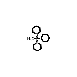 C[PH](C1CCCCC1)(N1CCCCC1)N1CCCCC1